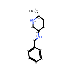 CCOC(=O)[C@@H]1CC[C@@H](NCc2ccccc2)CN1